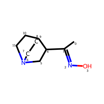 CC(=NO)C1CN2CCC1CC2